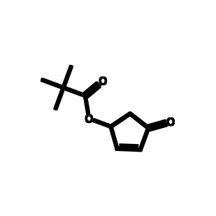 CC(C)(C)C(=O)OC1C=CC(=O)C1